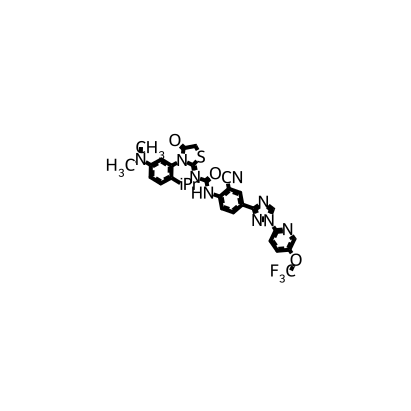 CC(C)c1ccc(N(C)C)cc1N1C(=O)CSC1=NC(=O)Nc1ccc(-c2ncn(-c3ccc(OC(F)(F)F)cn3)n2)cc1C#N